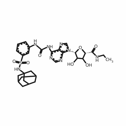 CCNC(=O)[C@H]1O[C@@H](n2cnc3c(NC(=O)Nc4cccc(S(=O)(=O)NC56CC7CC(CC(C7)C5)C6)c4)ncnc32)C(O)C1O